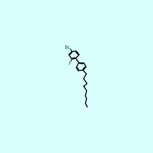 CCCCCCCCCc1ccc(-c2ccc(Br)cc2F)cc1